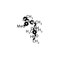 C=CCNC(=O)c1cc(C)c(C(=O)NCCC(C)N2CCC(N(Cc3cnccc3C)c3ccc(OC)cc3)CC2)c(C)c1